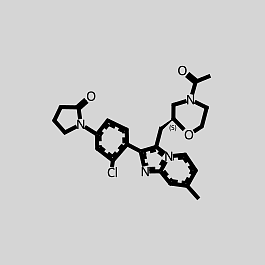 CC(=O)N1CCO[C@@H](Cc2c(-c3ccc(N4CCCC4=O)cc3Cl)nc3cc(C)ccn23)C1